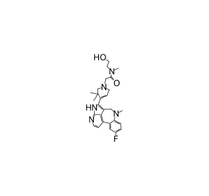 CN(CCO)C(=O)CN1CC=C(c2[nH]c3nccc4c3c2CN(C)c2ccc(F)cc2-4)C(C)(C)C1